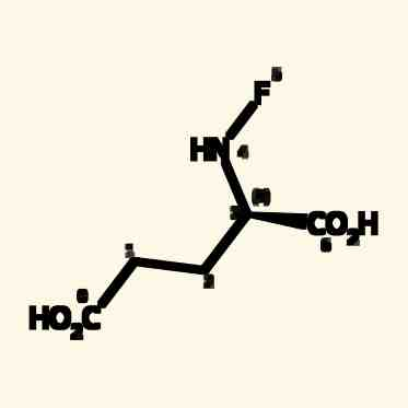 O=C(O)CC[C@@H](NF)C(=O)O